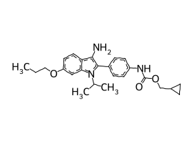 CCCOc1ccc2c(N)c(-c3ccc(NC(=O)OCC4CC4)cc3)n(C(C)C)c2c1